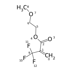 C=C(C(=O)OCCOC)C(F)(F)F